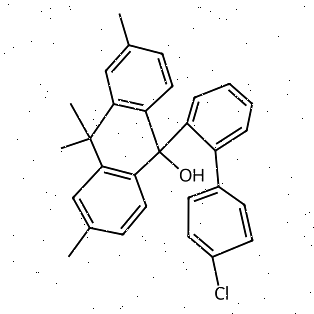 Cc1ccc2c(c1)C(C)(C)c1cc(C)ccc1C2(O)c1ccccc1-c1ccc(Cl)cc1